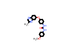 COc1ccc(NC(=O)Nc2ccc(Oc3ccc4ncc(C)nc4c3)cc2)cc1